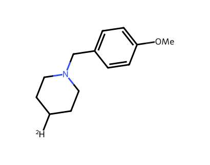 [2H]C1CCN(Cc2ccc(OC)cc2)CC1